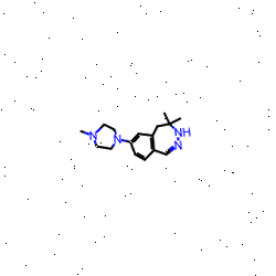 CN1CCN(c2ccc3c(c2)CC(C)(C)NN=C3)CC1